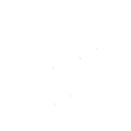 Cc1nc(C)c(C=NOc2cccc(C(F)(F)F)c2)c(C2CCN(C(=O)O)CC2)n1